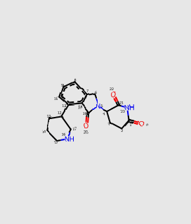 O=C1CCC(N2Cc3cccc(C4CCCNC4)c3C2=O)C(=O)N1